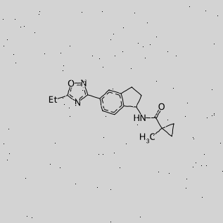 CCc1nc(-c2ccc3c(c2)CCC3NC(=O)C2(C)CC2)no1